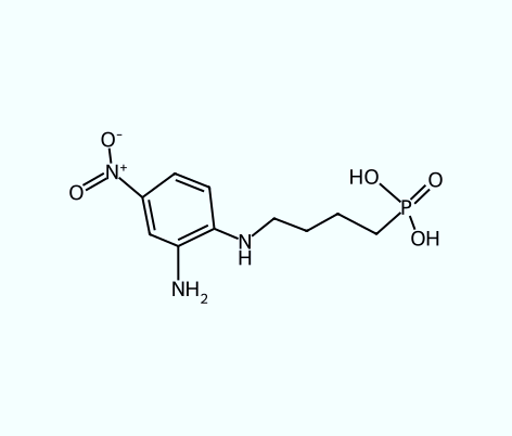 Nc1cc([N+](=O)[O-])ccc1NCCCCP(=O)(O)O